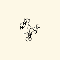 CN1CCCN(c2ncccc2-c2ccc3c(c2)N(CC(F)(F)F)C(=O)C2=CN(C4CCCCO4)NC23)CC1